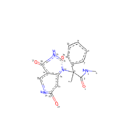 CNC(=O)C(C)(c1ccccc1)n1c(=O)[nH]c(=O)c2c[nH]c(=O)cc21